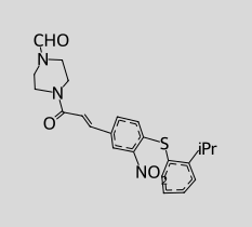 CC(C)c1ccccc1Sc1ccc(C=CC(=O)N2CCN(C=O)CC2)cc1[N+](=O)[O-]